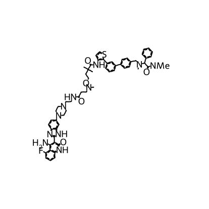 CNC(=O)C(c1ccccc1)N(C)Cc1ccc(-c2cccc(-c3sccc3NC(=O)C(C)(C)CCON(C)CCC(=O)NCCN3CCN(c4ccc5nc(-c6c(N)c7c(F)cccc7[nH]c6=O)[nH]c5c4)CC3)c2)cc1